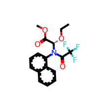 CCO[C@@H](C(=O)OC)N(C(=O)C(F)(F)F)c1cccc2ccccc12